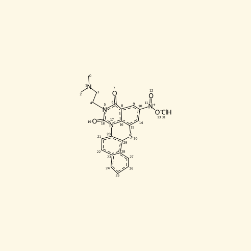 CN(C)CCn1c(=O)c2cc([N+](=O)[O-])cc3c2n(c1=O)-c1ccc2ccccc2c1S3.Cl